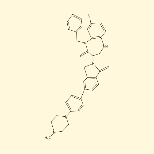 CN1CCN(c2ccc(-c3ccc4c(c3)CN([C@H]3CNc5ccc(F)cc5N(Cc5ccccc5)C3=O)C4=O)cc2)CC1